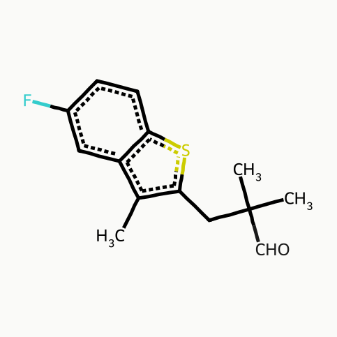 Cc1c(CC(C)(C)C=O)sc2ccc(F)cc12